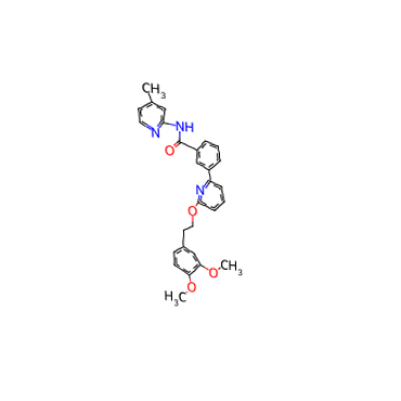 COc1ccc(CCOc2cccc(-c3cccc(C(=O)Nc4cc(C)ccn4)c3)n2)cc1OC